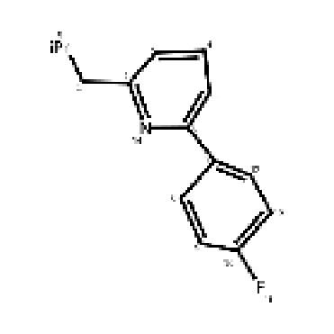 CC(C)Cc1cccc(-c2ccc(F)cc2)n1